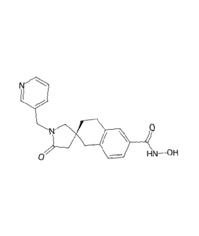 O=C(NO)c1ccc2c(c1)CC[C@]1(CC(=O)N(Cc3cccnc3)C1)C2